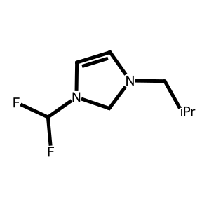 CC(C)CN1C=CN(C(F)F)C1